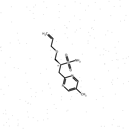 C=CCOC[C@H](Cc1ncc(C)cn1)S(N)(=O)=O